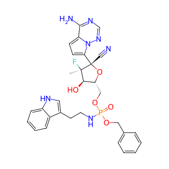 C[C@@]1(F)[C@H](O)[C@@H](COP(=O)(NCCc2c[nH]c3ccccc23)OCc2ccccc2)O[C@@]1(C#N)c1ccc2c(N)ncnn12